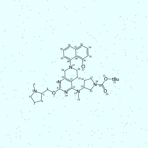 CN1CCCC1COc1nc2c(c(N(C)C3CCN(C(=O)OC(C)(C)C)C3)n1)CCN(c1cccc3cccc(Cl)c13)C2